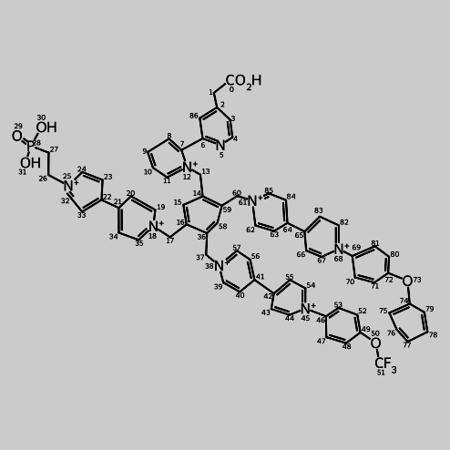 O=C(O)Cc1ccnc(-c2cccc[n+]2Cc2cc(C[n+]3ccc(-c4cc[n+](CCP(=O)(O)O)cc4)cc3)c(C[n+]3ccc(-c4cc[n+](-c5ccc(OC(F)(F)F)cc5)cc4)cc3)cc2C[n+]2ccc(-c3cc[n+](-c4ccc(Oc5ccccc5)cc4)cc3)cc2)c1